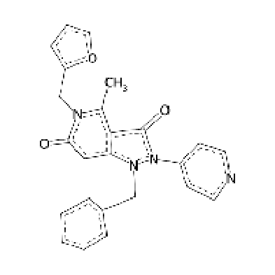 Cc1c2c(=O)n(-c3ccncc3)n(Cc3ccccc3)c2cc(=O)n1Cc1ccco1